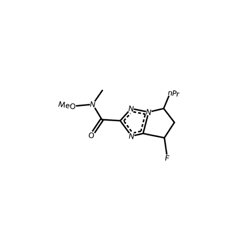 CCCC1CC(F)c2nc(C(=O)N(C)OC)nn21